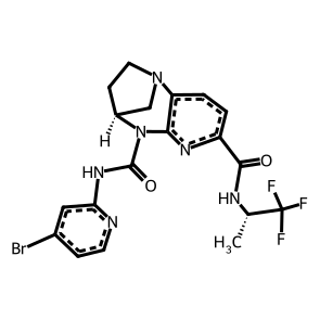 C[C@H](NC(=O)c1ccc2c(n1)N(C(=O)Nc1cc(Br)ccn1)[C@H]1CCN2C1)C(F)(F)F